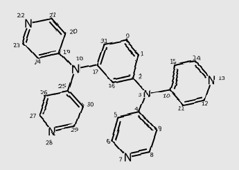 c1cc(N(c2ccncc2)c2ccncc2)cc(N(c2ccncc2)c2ccncc2)c1